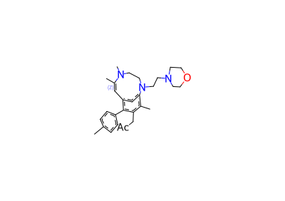 CC(=O)Cc1c(C)c2cc(c1-c1ccc(C)cc1)/C=C(/C)N(C)CCN2CCN1CCOCC1